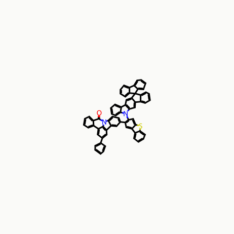 O=c1c2ccccc2c2cc(-c3ccccc3)cc3c4cc(-c5cc6c(cc5-n5c7ccccc7c7cc8c(cc75)-c5ccccc5C85c7ccccc7-c7ccccc75)sc5ccccc56)ccc4n1c23